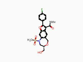 CNC(=O)c1c(-c2ccc(F)cc2)oc2cc3c(cc12)CO[C@@H](CO)CN3S(C)(=O)=O